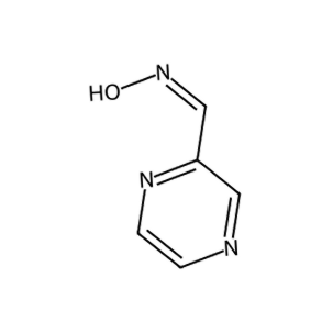 O/N=C\c1cnccn1